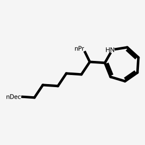 CCCCCCCCCCCCCCCC(CCC)C1=CC=CC=CN1